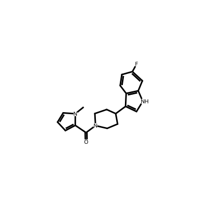 Cn1cccc1C(=O)N1CCC(c2c[nH]c3cc(F)ccc23)CC1